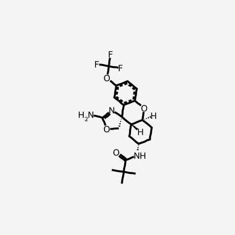 CC(C)(C)C(=O)N[C@H]1CC[C@@H]2Oc3ccc(OC(F)(F)F)cc3[C@@]3(COC(N)=N3)[C@H]2C1